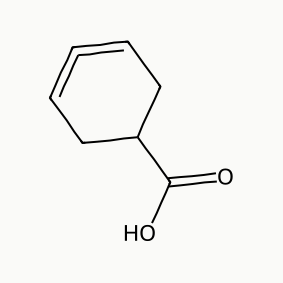 O=C(O)C1CC=C=CC1